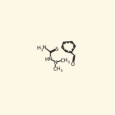 CN(C)NC(N)=S.O=Cc1ccccc1